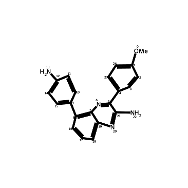 COc1ccc(-c2nc3c(-c4ccc(N)cc4)cccc3nc2N)cc1